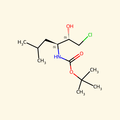 CC(C)C[C@H](NC(=O)OC(C)(C)C)[C@H](O)CCl